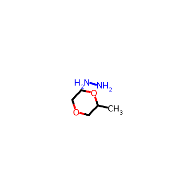 CC1COCCO1.NN